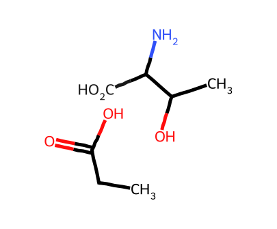 CC(O)C(N)C(=O)O.CCC(=O)O